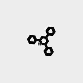 c1ccc(C2CC(c3ccccc3)PC(c3ccccc3)C2)cc1